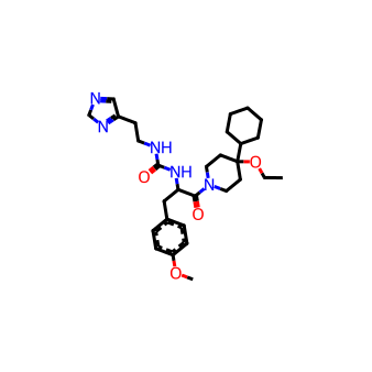 CCOC1(C2CCCCC2)CCN(C(=O)C(Cc2ccc(OC)cc2)NC(=O)NCCC2=NCN=C2)CC1